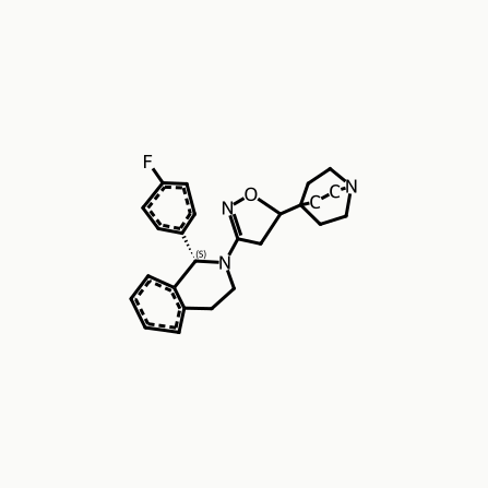 Fc1ccc([C@H]2c3ccccc3CCN2C2=NOC(C34CCN(CC3)CC4)C2)cc1